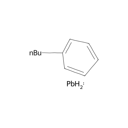 CCCCc1ccccc1.[PbH2]